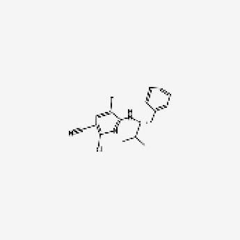 CC(C)[C@@H](Cc1ccccc1)Nc1nc(Cl)c(C#N)cc1F